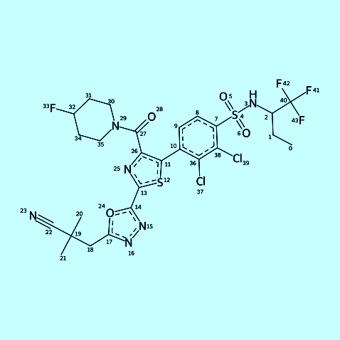 CCC(NS(=O)(=O)c1ccc(-c2sc(-c3nnc(CC(C)(C)C#N)o3)nc2C(=O)N2CCC(F)CC2)c(Cl)c1Cl)C(F)(F)F